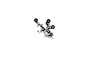 CC(C)(O)c1cnnn1[C@H]1C[C@@H](C(=O)NC(CCCCNC(=O)OCc2ccccc2)C(=O)C(N)=O)N(C(=O)[C@@H](CC2CCCCC2)NC(=O)c2ccc3ccccc3n2)C1